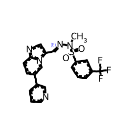 CN(/N=C/c1cnc2ccc(-c3cccnc3)cn12)S(=O)(=O)c1cccc(C(F)(F)F)c1